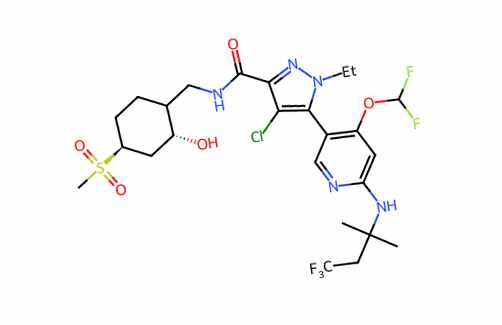 CCn1nc(C(=O)NCC2CC[C@H](S(C)(=O)=O)C[C@H]2O)c(Cl)c1-c1cnc(NC(C)(C)CC(F)(F)F)cc1OC(F)F